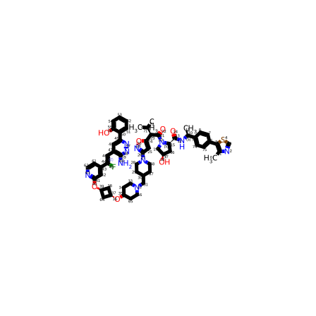 Cc1ncsc1-c1ccc([C@H](C)NC(=O)[C@@H]2C[C@@H](O)CN2C(=O)[C@@H](c2cc(N3CCC(CN4CCC(O[C@H]5C[C@H](Oc6cc(/C(F)=C/c7cc(-c8ccccc8O)nnc7N)ccn6)C5)CC4)CC3)no2)C(C)C)cc1